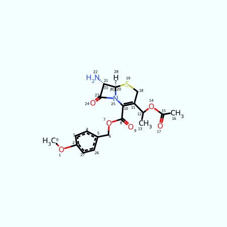 COc1ccc(COC(=O)C2=C(C(C)OC(C)=O)CS[C@@H]3[C@@H](N)C(=O)N23)cc1